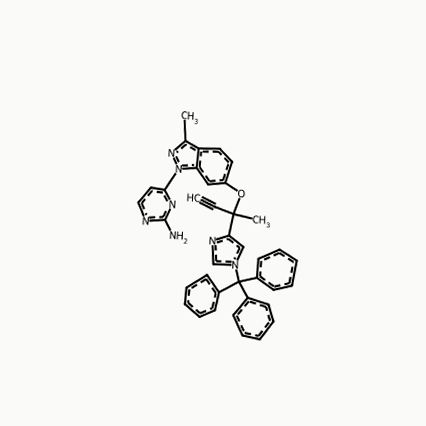 C#CC(C)(Oc1ccc2c(C)nn(-c3ccnc(N)n3)c2c1)c1cn(C(c2ccccc2)(c2ccccc2)c2ccccc2)cn1